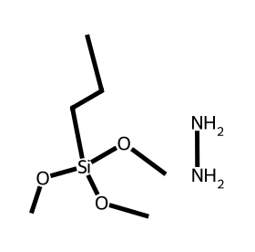 CCC[Si](OC)(OC)OC.NN